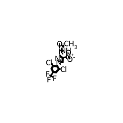 CC(=O)NNc1nn(-c2c(Cl)cc(C(F)(F)F)cc2Cl)cc1[N+](=O)[O-]